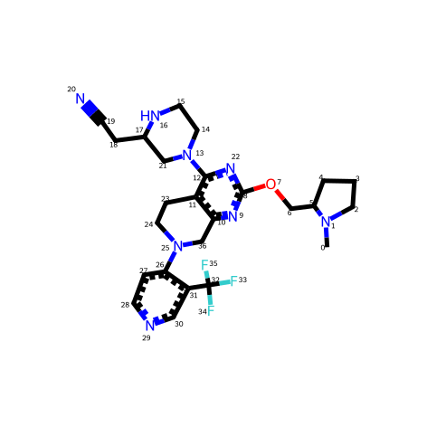 CN1CCCC1COc1nc2c(c(N3CCNC(CC#N)C3)n1)CCN(c1ccncc1C(F)(F)F)C2